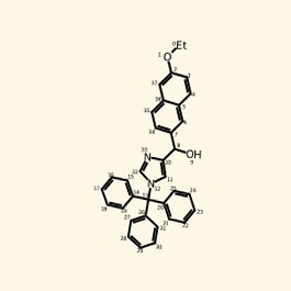 CCOc1ccc2cc(C(O)c3cn(C(c4ccccc4)(c4ccccc4)c4ccccc4)cn3)ccc2c1